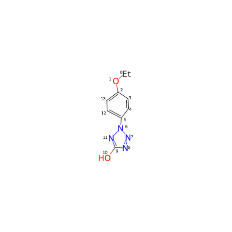 CCOc1ccc(-n2nnc(O)n2)cc1